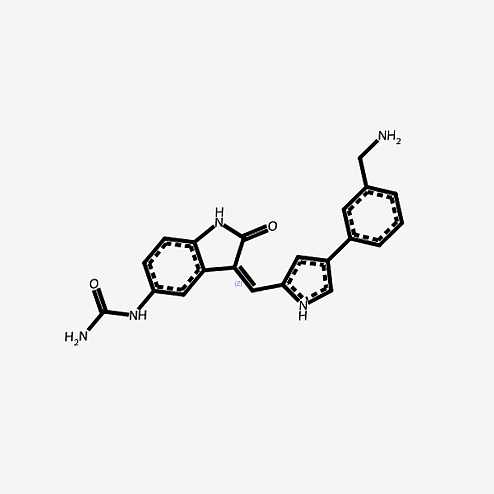 NCc1cccc(-c2c[nH]c(/C=C3\C(=O)Nc4ccc(NC(N)=O)cc43)c2)c1